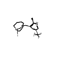 Cc1ncc(C(F)(F)F)cc1N1CC(I)N2CCCC1CC2